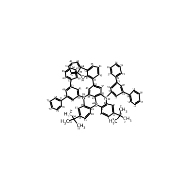 CC(C)(C)c1ccc2c(c1)N(c1cc(-c3ccccc3)cc(-c3ccccc3)c1)c1cc(-c3cccc4c3oc3ccccc34)cc3c1B2c1ccc(C(C)(C)C)cc1N3c1cc(-c2ccccc2)cc(-c2ccccc2)c1